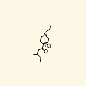 CCCN1CC=C(C(=O)CC(C)CC)CC1.Cl